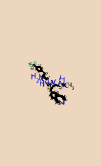 CNCc1nc(NC[C@@H](N)Cc2ccc(C(F)(F)F)cc2)sc1-c1ccc2cnccc2c1